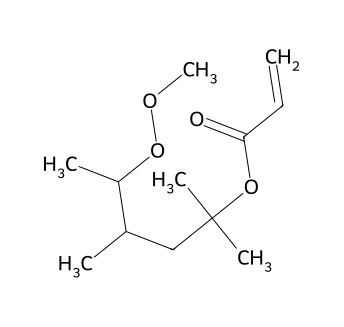 C=CC(=O)OC(C)(C)CC(C)C(C)OOC